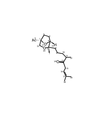 CC(=O)[C@]12CC[C@@H](O1)[C@](C)(CCCC(C)C(=O)CC=C(C)C)OC2